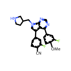 COc1ccc(-c2ncnc3c2c(-c2ccc(C#N)c(F)c2)cn3CC2CCNC2)cc1F